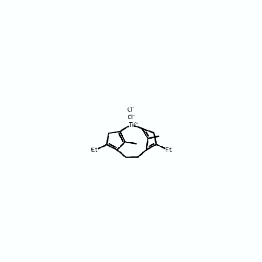 CCC1=C2CCC3=C(CC)C[C](=C3C)[Ti+2][C](=C2C)C1.[Cl-].[Cl-]